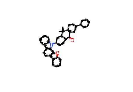 CC1(C)c2ccc(-c3ccccc3)cc2C(=O)c2ccc(-n3c4ccccc4c4ccc5c6ccccc6oc5c43)cc21